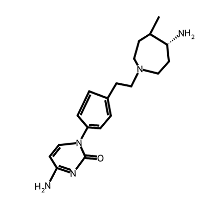 CC1CCN(CCc2ccc(-n3ccc(N)nc3=O)cc2)CC[C@H]1N